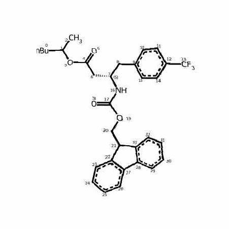 CCCCC(C)OC(=O)C[C@H](Cc1ccc(C(F)(F)F)cc1)NC(=O)OCC1c2ccccc2-c2ccccc21